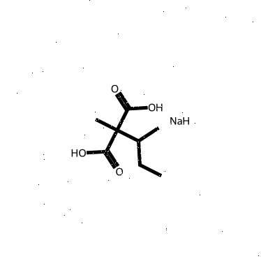 CCC(C)C(C)(C(=O)O)C(=O)O.[NaH]